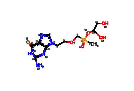 CP(=O)(COCCn1cnc2c(=O)[nH]c(N)nc21)OC(O)CO